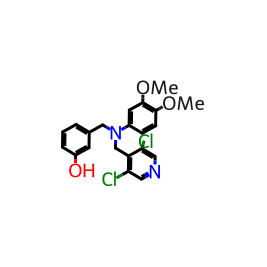 COc1ccc(N(Cc2cccc(O)c2)Cc2c(Cl)cncc2Cl)cc1OC